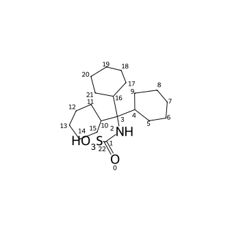 O=C(NC(C1CCCCC1)(C1CCCCC1)C1CCCCC1)S(=O)(=O)O